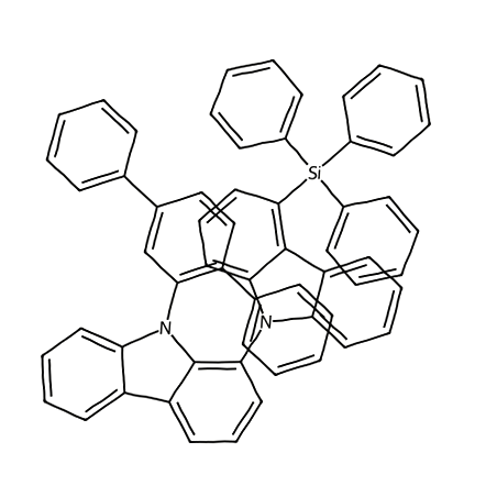 c1ccc(-c2ccc(-c3ccccc3)c(-n3c4ccccc4c4cccc(-n5c6ccccc6c6c([Si](c7ccccc7)(c7ccccc7)c7ccccc7)cccc65)c43)c2)cc1